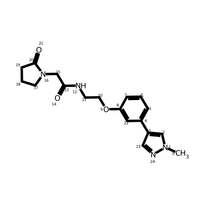 Cn1cc(-c2c[c]cc(OCCNC(=O)CN3CCCC3=O)c2)cn1